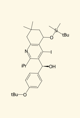 CC(C)c1nc2c(c(I)c1[C@@H](O)c1ccc(OC(C)(C)C)cc1)C(O[Si](C)(C)C(C)(C)C)CC(C)(C)C2